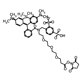 CN(C)c1ccc2c(c1)[Si](C)(C)C1=CC(=[N+](C)C)C=CC1=C2c1ccccc1C(=O)N(CCOCCOCCOCCC(=O)ON1C(=O)CCC1=O)Cc1ccc(S(=O)(=O)O)cc1S(=O)(=O)[O-]